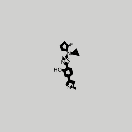 Cn1cc(-c2ccc(-c3nnc(N(C4CC4)[C@H]4CCC[C@H]4F)s3)c(O)c2)cn1